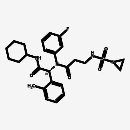 Cc1ccccc1[C@H](C(=O)NC1CCCCC1)N(C(=O)CCNS(=O)(=O)N1CC1)c1cccc(F)c1